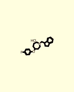 Cl.Fc1ccc(OC2CCCN(CC3CCc4ccccc43)CC2)cc1